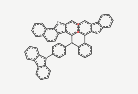 c1ccc(N(c2ccc(-n3c4ccccc4c4ccccc43)cc2)c2cccc3oc4c5ccccc5ccc4c23)c(-c2cccc3c2sc2ccccc23)c1